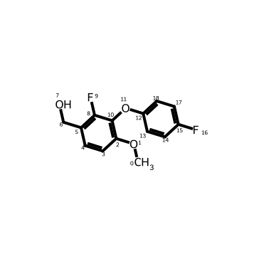 COc1ccc(CO)c(F)c1Oc1ccc(F)cc1